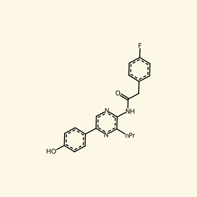 CCCc1nc(-c2ccc(O)cc2)cnc1NC(=O)Cc1ccc(F)cc1